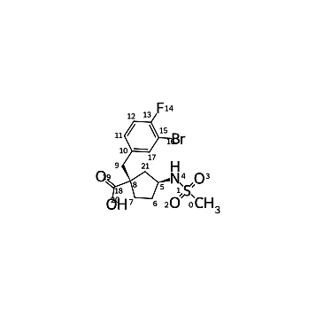 CS(=O)(=O)N[C@H]1CC[C@](Cc2ccc(F)c(Br)c2)(C(=O)O)C1